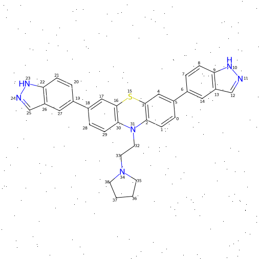 c1cc2c(cc1-c1ccc3[nH]ncc3c1)Sc1cc(-c3ccc4[nH]ncc4c3)ccc1N2CCN1CCCC1